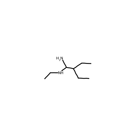 CCNC(N)[C](CC)CC